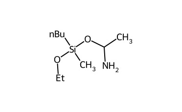 CCCC[Si](C)(OCC)OC(C)N